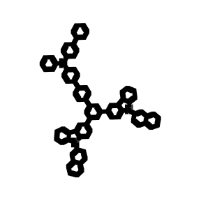 c1ccc(-c2ccc(N(c3ccccc3)c3ccc(-c4ccc(-c5cc(-c6ccc7c(c6)c6ccccc6n7-c6ccc7ccccc7c6)cc(-c6ccc7c(c6)c6ccccc6n7-c6ccc7ccccc7c6)c5)cc4)cc3)cc2)cc1